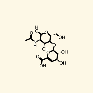 CC(=O)N[C@H]1C(O)O[C@H](CO)C(O[C@@H]2OC(C(=O)O)=C[C@H](O)[C@H]2O)[C@@H]1O